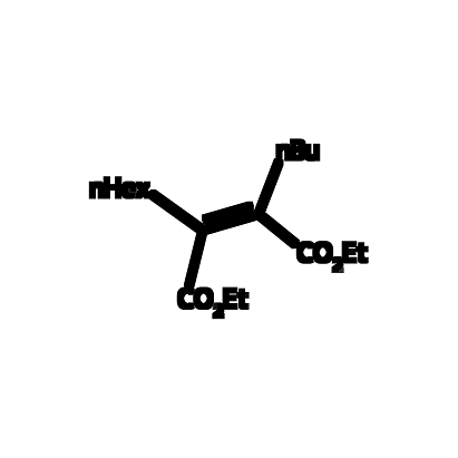 CCCCCC/C(C(=O)OCC)=C(\CCCC)C(=O)OCC